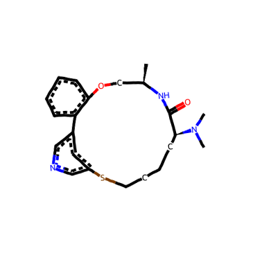 C[C@@H]1COc2ccccc2-c2cncc(c2)SCCCC[C@H](N(C)C)C(=O)N1